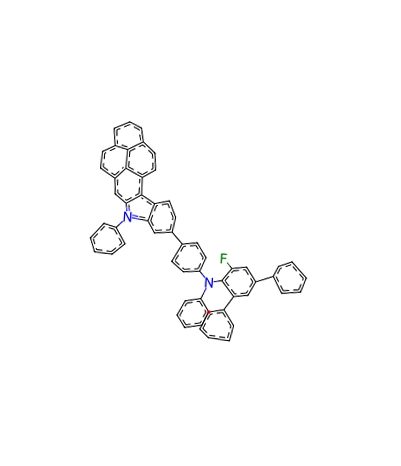 Fc1cc(-c2ccccc2)cc(-c2ccccc2)c1N(c1ccccc1)c1ccc(-c2ccc3c4c5ccc6cccc7ccc(cc4n(-c4ccccc4)c3c2)c5c76)cc1